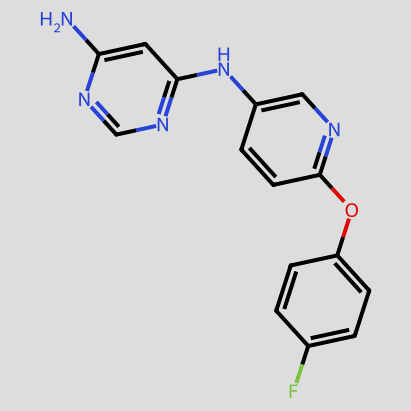 Nc1cc(Nc2ccc(Oc3ccc(F)cc3)nc2)ncn1